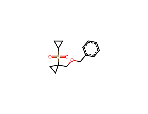 O=S(=O)(C1CC1)C1(COCc2ccccc2)CC1